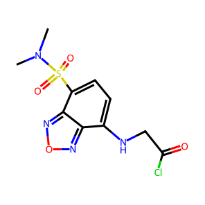 CN(C)S(=O)(=O)c1ccc(NCC(=O)Cl)c2nonc12